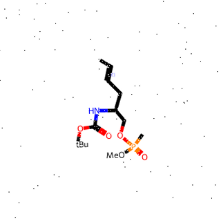 C/C=C/CC(COP(C)(=O)OC)NC(=O)OC(C)(C)C